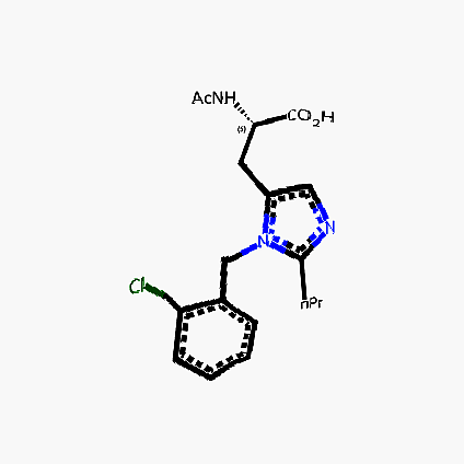 CCCc1ncc(C[C@H](NC(C)=O)C(=O)O)n1Cc1ccccc1Cl